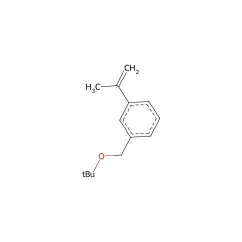 C=C(C)c1cccc(COC(C)(C)C)c1